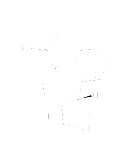 CC(C)C(=O)N1CC[C@@H]2CNC[C@H]2c2ccccc21